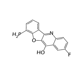 Oc1c2cc(F)ccc2nc2c1oc1c(P)cccc12